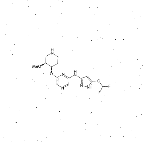 CO[C@H]1CNCC[C@H]1Oc1cncc(Nc2cc(OC(F)F)[nH]n2)n1